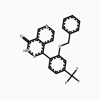 O=c1[nH]nc(-c2ccc(C(F)(F)F)cc2OCc2ccccc2)c2ccncc12